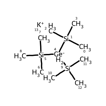 C[Si](C)(C)[GeH2-]([Si](C)(C)C)[Si](C)(C)C.[K+]